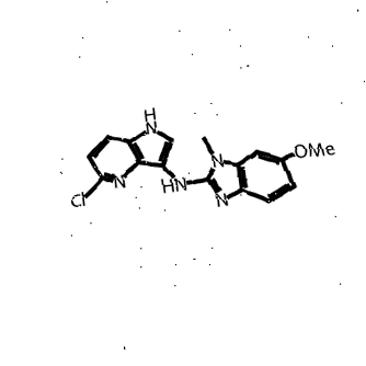 COc1ccc2nc(Nc3c[nH]c4ccc(Cl)nc34)n(C)c2c1